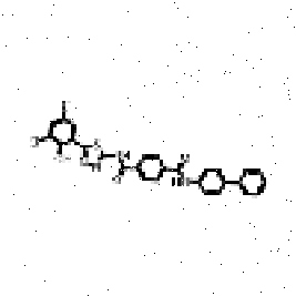 O=C(Nc1ccc(-c2ccccc2)cc1)c1ccc(C(=O)Nc2nnc(-c3cc(Cl)cc(Cl)c3O)s2)cc1